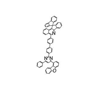 c1ccc(-c2cc(-c3cccc4oc5ccccc5c34)nc(-c3ccc(-c4ccc(-c5nc6c(c7ccccc57)C5(c7ccccc7-c7ccccc75)c5ccccc5-6)cc4)cc3)n2)cc1